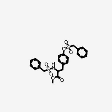 COC(=O)C(Cc1ccc(OS(=O)(=O)Cc2ccccc2)cc1)NS(=O)(=O)Cc1ccccc1